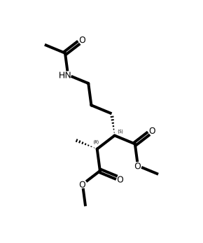 COC(=O)[C@@H](CCCNC(C)=O)[C@@H](C)C(=O)OC